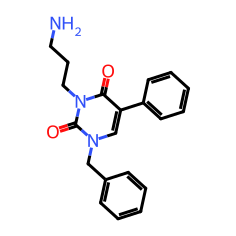 NCCCn1c(=O)c(-c2ccccc2)cn(Cc2ccccc2)c1=O